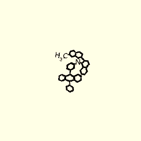 Cc1ccc2ccc3c4ccc5ccccc5c4n(-c4cccc(-c5c6ccccc6c(-c6ccccc6)c6ccccc56)c4)c3c2c1